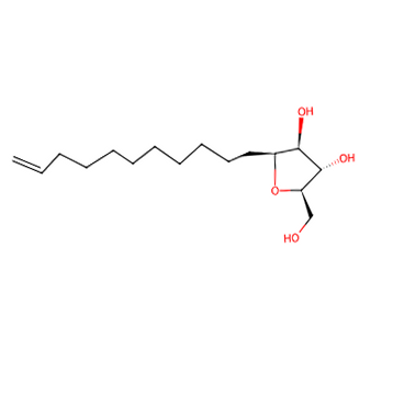 C=CCCCCCCCCC[C@@H]1O[C@H](CO)[C@@H](O)[C@@H]1O